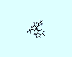 CC(C)[C@H]1COC(=O)N1C(=O)C(CCC(F)(F)F)C(CCC(F)(F)F)C(=O)O